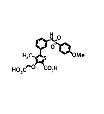 COc1ccc(S(=O)(=O)Nc2cccc(-c3sc(C(=O)O)c(OCC(=O)O)c3C)c2)cc1